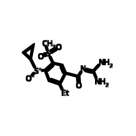 CCc1cc([S+]([O-])C2CC2)c(S(C)(=O)=O)cc1C(=O)N=C(N)N